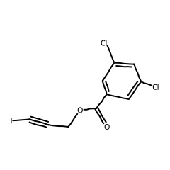 O=C(OCC#CI)c1cc(Cl)cc(Cl)c1